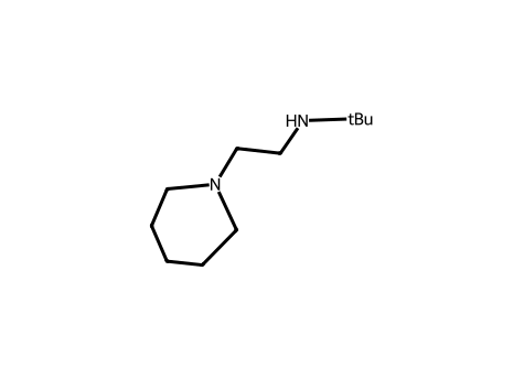 CC(C)(C)NCCN1CCCCC1